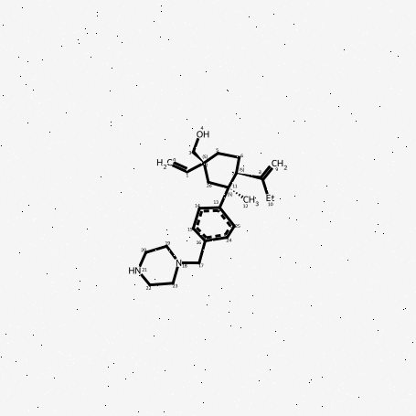 C=C[C@]1(CO)CC[C@@H](C(=C)CC)[C@@](C)(c2ccc(CN3CCNCC3)cc2)C1